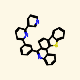 c1cncc(-c2cccc(-c3cccc(-c4nc5ccccc5c5c4ccc4c6ccccc6sc45)c3)n2)c1